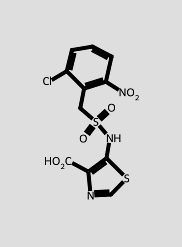 O=C(O)c1ncsc1NS(=O)(=O)Cc1c(Cl)cccc1[N+](=O)[O-]